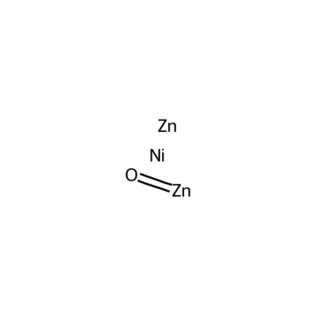 [Ni].[O]=[Zn].[Zn]